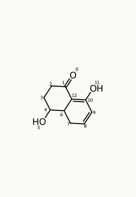 O=C1CCC(O)C2CC=CC(O)=C12